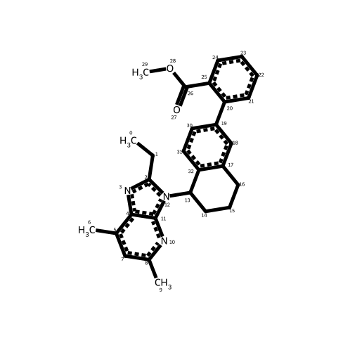 CCc1nc2c(C)cc(C)nc2n1C1CCCc2cc(-c3ccccc3C(=O)OC)ccc21